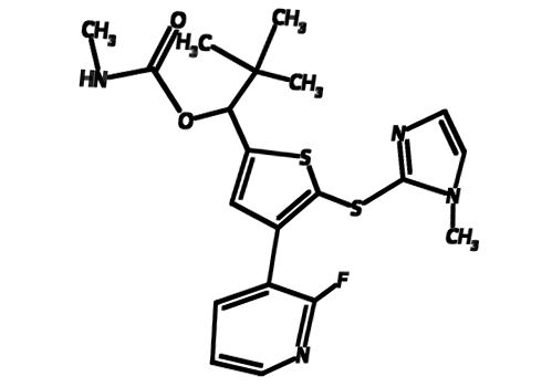 CNC(=O)OC(c1cc(-c2cccnc2F)c(Sc2nccn2C)s1)C(C)(C)C